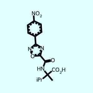 CC(C)C(C)(NC(=O)c1nc(-c2ccc([N+](=O)[O-])cc2)no1)C(=O)O